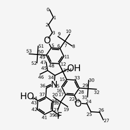 CCCCOc1c(C(C)(C)C)cc(C(O)(c2cc(C(C)(C)C)c(OCCCC)c(C(C)(C)C)c2)C(N=Cc2cc(F)ccc2O)C(C)C)cc1C(C)(C)C